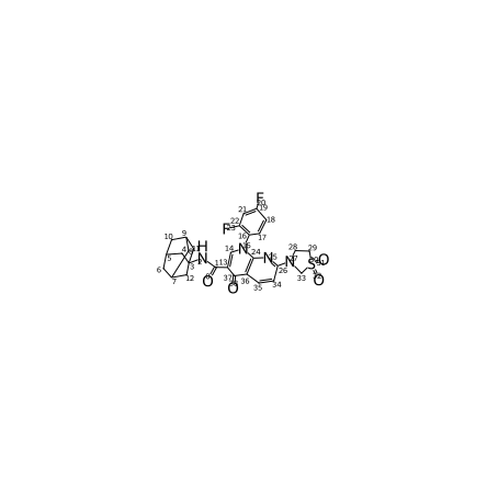 O=C(NC12CC3CC(CC(C3)C1)C2)c1cn(-c2ccc(F)cc2F)c2nc(N3CCS(=O)(=O)C3)ccc2c1=O